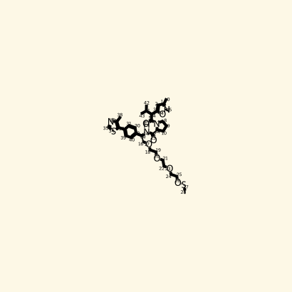 Cc1cc(C(C(=O)N2CCC[C@H]2C(=O)N[C@@H](COCCOCCOCCOSI)c2ccc(-c3scnc3C)cc2)C(C)C)on1